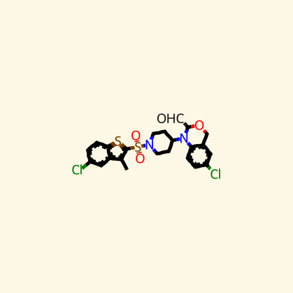 Cc1c(S(=O)(=O)N2CCC(N3c4ccc(Cl)cc4COC3C=O)CC2)sc2ccc(Cl)cc12